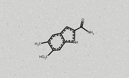 Cc1cc2cc(C(N)=O)[nH]c2cc1C(=O)O